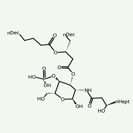 CCCCCCCCCCCCCC(=O)O[C@H](CCCCCCCCCCC)CC(=O)O[C@@H]1[C@H](NC(=O)C[C@H](O)CCCCCCC)[C@@H](O)O[C@H](CO)[C@H]1OP(=O)(O)O